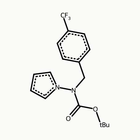 CC(C)(C)OC(=O)N(Cc1ccc(C(F)(F)F)cc1)n1cccc1